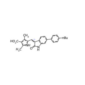 CCCCc1ccc(-c2ccc3c(c2)NC(=O)/C3=C\c2[nH]c(C)c(C(=O)O)c2C)cc1